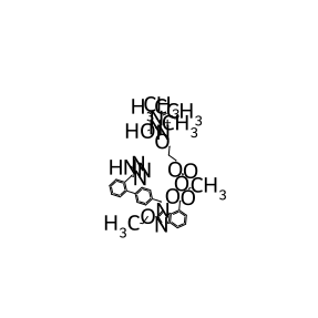 CCOc1nc2cccc(C(=O)OC(C)OC(=O)OCCCO/N=[N+](\O)N(CC)C(C)(C)C)c2n1Cc1ccc(-c2ccccc2-c2nnn[nH]2)cc1